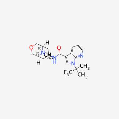 CN1[C@@H]2COC[C@H]1C[C@@H](NC(=O)c1cn(C(C)(C)C(F)(F)F)c3ncccc13)C2